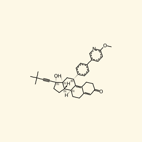 COc1ccc(-c2ccc([C@H]3C[C@@]4(C)[C@@H](CC[C@@]4(O)C#CC(C)(C)C)[C@@H]4CCC5=CC(=O)CCC5=C43)cc2)cn1